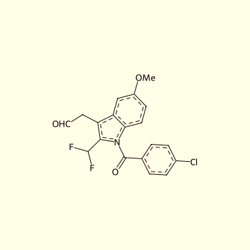 COc1ccc2c(c1)c(CC=O)c(C(F)F)n2C(=O)c1ccc(Cl)cc1